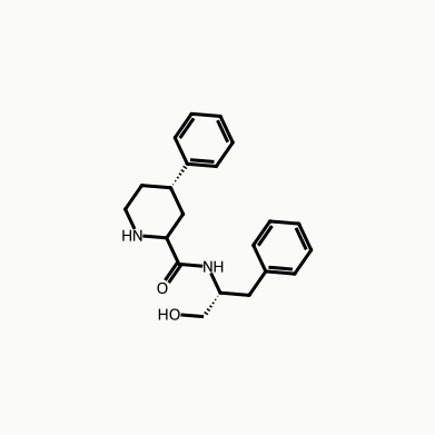 O=C(N[C@@H](CO)Cc1ccccc1)C1C[C@@H](c2ccccc2)CCN1